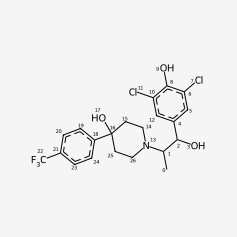 CC(C(O)c1cc(Cl)c(O)c(Cl)c1)N1CCC(O)(c2ccc(C(F)(F)F)cc2)CC1